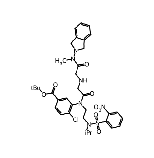 CC(C)N(CCN(C(=O)CNCC(=O)N(C)N1Cc2ccccc2C1)c1cc(C(=O)OC(C)(C)C)ccc1Cl)S(=O)(=O)c1ccccc1[N+](=O)[O-]